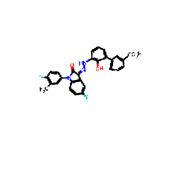 O=C(O)c1cccc(-c2cccc(NN=C3C(=O)N(c4ccc(F)c(C(F)(F)F)c4)c4ccc(F)cc43)c2O)c1